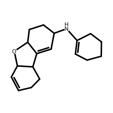 C1=CC2OC3CCC(NC4=CCCCC4)C=C3C2CC1